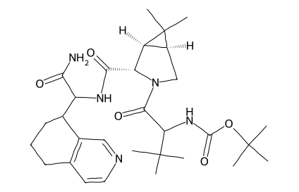 CC(C)(C)OC(=O)NC(C(=O)N1C[C@H]2[C@@H]([C@H]1C(=O)NC(C(N)=O)C1CCCc3ccncc31)C2(C)C)C(C)(C)C